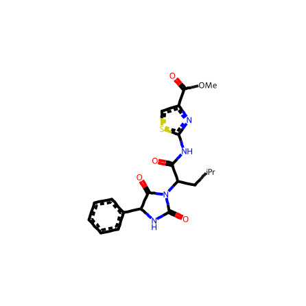 COC(=O)c1csc(NC(=O)C(CC(C)C)N2C(=O)NC(c3ccccc3)C2=O)n1